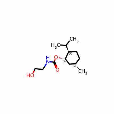 CC(C)[C@H]1CC[C@H](C)C[C@@H]1OC(=O)NCCO